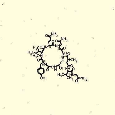 CCC(C)C1C(=O)N[C@@H](CCC(N)=O)C(=O)N[C@@H](CC(N)=O)C(=O)N[C@H](C(=O)N(C)CC(=O)N[C@H](C(=O)NCC(N)=O)C(C)C)CCC(O)NCC(=O)N[C@@H](Cc2ccc(O)cc2)C(=O)N1C